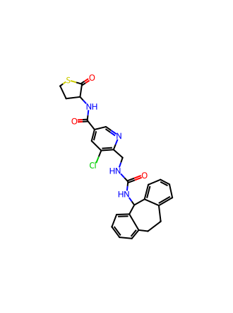 O=C(NCc1ncc(C(=O)NC2CCSC2=O)cc1Cl)NC1c2ccccc2CCc2ccccc21